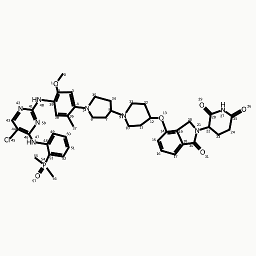 COc1cc(N2CCC(N3CCC(Oc4cccc5c4CN(C4CCC(=O)NC4=O)C5=O)CC3)CC2)c(C)cc1Nc1ncc(Cl)c(Nc2ccccc2P(C)(C)=O)n1